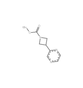 CC(C)(C)OC(=O)N1CC(c2cnccn2)C1